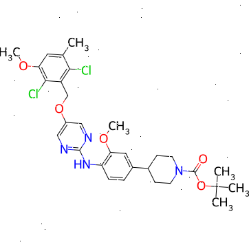 COc1cc(C2CCN(C(=O)OC(C)(C)C)CC2)ccc1Nc1ncc(OCc2c(Cl)c(C)cc(OC)c2Cl)cn1